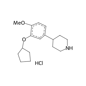 COc1ccc(C2CCNCC2)cc1OC1CCCC1.Cl